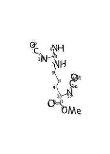 COC(=O)C(CCCNC(=N)N=C=O)N=C=O